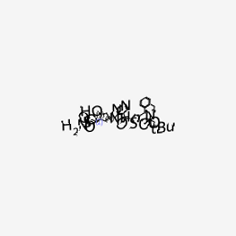 CC(C)(C)OC(=O)N1CCc2ccccc2C1c1csc(C(=O)c2cncnc2N[C@@H]2C/C(=C/OS(N)(=O)=O)[C@@H](O)C2)c1